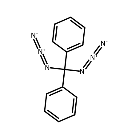 [N-]=[N+]=NC(N=[N+]=[N-])(c1ccccc1)c1ccccc1